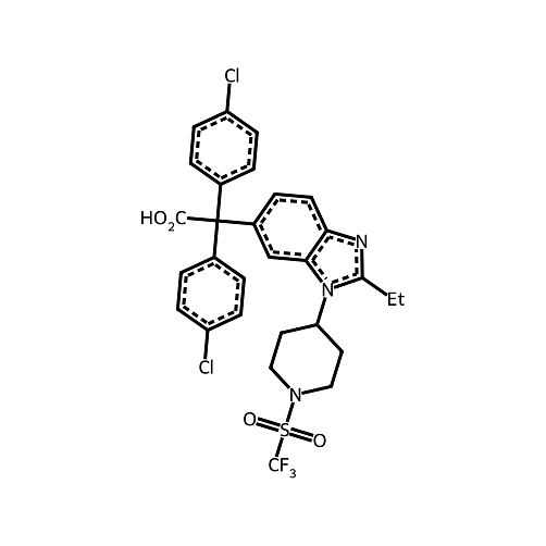 CCc1nc2ccc(C(C(=O)O)(c3ccc(Cl)cc3)c3ccc(Cl)cc3)cc2n1C1CCN(S(=O)(=O)C(F)(F)F)CC1